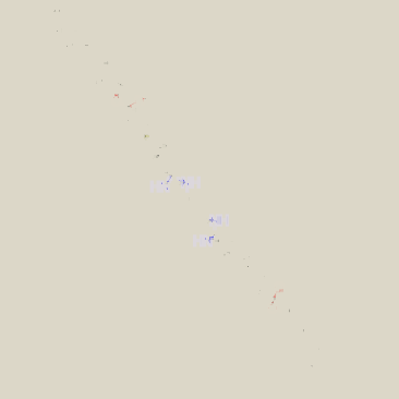 CCCCCCCCCOC(=O)CCSCCCC(=N)NCCCNC(=N)CCCSCCC(=O)OCCCCCCCCC